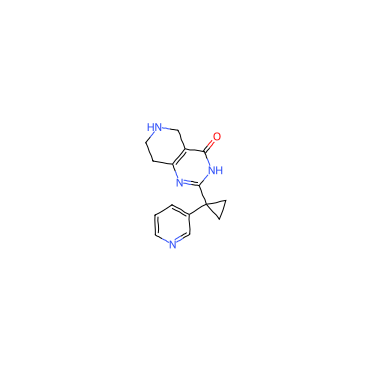 O=c1[nH]c(C2(c3cccnc3)CC2)nc2c1CNCC2